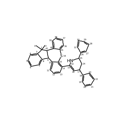 CC1(C)c2ccccc2C2c3cccc(C4=CC(c5ccccc5)CC(c5ccccc5)N4)c3Sc3ccccc3C21